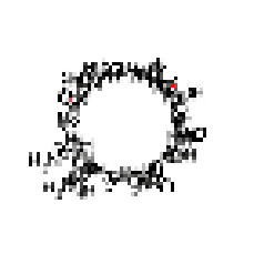 CCCC[C@H]1C(=O)N(C)[C@@H](CCCC)C(=O)N[C@@H](CCCNC(=N)N)C(=O)N[C@H](C(=O)NCC(N)=O)CSCC(=O)N[C@@H](Cc2ccc(CN)cc2)C(=O)N(C)[C@@H](C)C(=O)N[C@@H](CC(N)=O)C(=O)N2CCC[C@H]2C(=O)N[C@@H](Cc2cnc[nH]2)C(=O)N[C@@H](CC(C)C)C(=O)N2C[C@H](O)CC2C(=O)N[C@@H](Cc2c[nH]c3ccccc23)C(=O)N[C@@H](CO)C(=O)N[C@@H](Cc2c[nH]c3ccccc23)C(=O)N1C